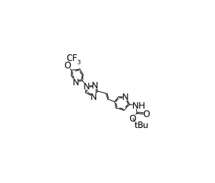 CC(C)(C)OC(=O)Nc1ccc(C=Cc2ncn(-c3ccc(OC(F)(F)F)cn3)n2)cn1